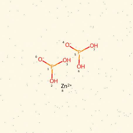 [O-]P(O)O.[O-]P(O)O.[Zn+2]